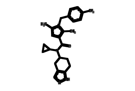 Cc1cc(C(=O)N(C2CC2)C2CCc3[nH]ncc3C2)c(C)n1Cc1ccc(C(F)(F)F)cc1